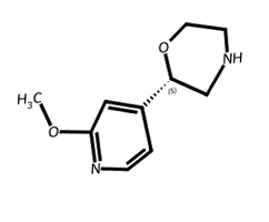 COc1cc([C@H]2CNCCO2)ccn1